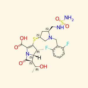 C[C@@H](O)[C@H]1C(=O)N2C(C(=O)O)=C(S[C@H]3C[C@@H](CNS(N)(=O)=O)N(Cc4c(F)cccc4F)C3)[C@H](C)[C@H]12